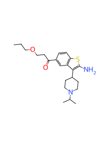 CCCOCCC(=O)c1ccc2sc(N)c(C3CCN(C(C)C)CC3)c2c1